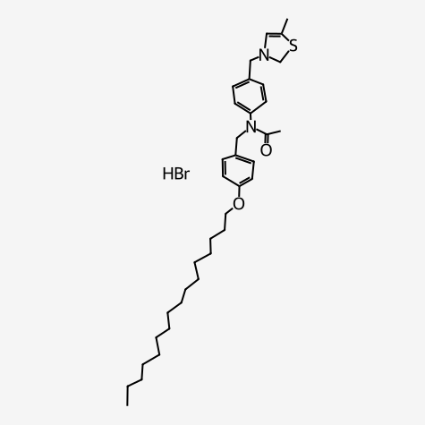 Br.CCCCCCCCCCCCCCCCOc1ccc(CN(C(C)=O)c2ccc(CN3C=C(C)SC3)cc2)cc1